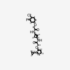 O=C(COc1ccc(Cl)c(F)c1)NC12CC(NC(=O)COc3ccnn3C3CC3)(C1)C2